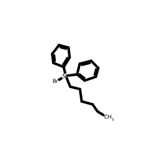 CCCCCC[Si](Br)(c1ccccc1)c1ccccc1